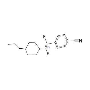 CCC[C@H]1CC[C@H](/C(F)=C(\F)c2ccc(C#N)cc2)CC1